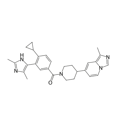 Cc1nc(C)c(-c2cc(C(=O)N3CCC(c4ccn5cnc(C)c5c4)CC3)ccc2C2CC2)[nH]1